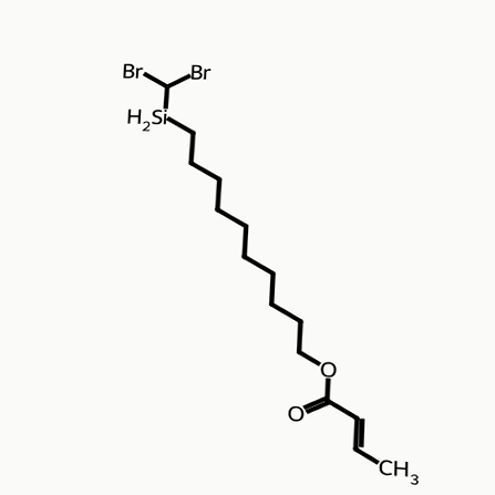 CC=CC(=O)OCCCCCCCCCC[SiH2]C(Br)Br